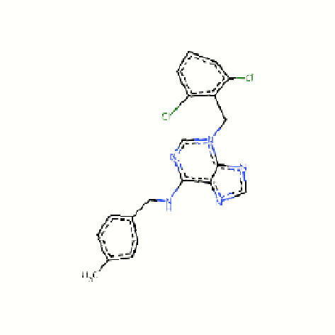 Cc1ccc(CNc2ncn(Cc3c(Cl)cccc3Cl)c3ncnc2-3)cc1